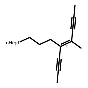 CC#C/C(C)=C(/C#CC)CCCCCCCCCC